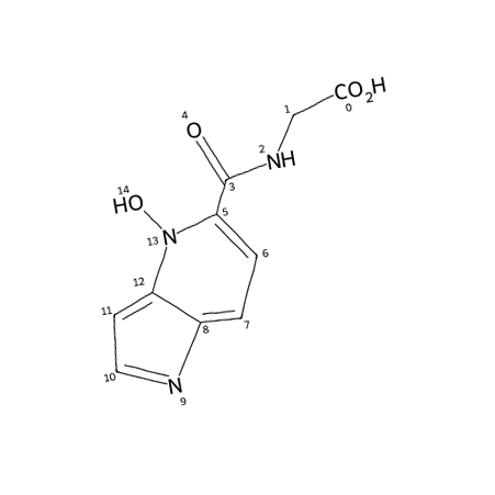 O=C(O)CNC(=O)c1ccc2nccc-2n1O